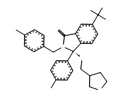 CC(C)(O)c1ccc2c(c1)C(=O)N(Cc1ccc(Cl)cc1)[C@@]2(OCC1CCOC1)c1ccc(Cl)cc1